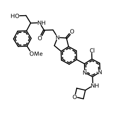 COc1cccc(C(CO)NC(=O)CN2Cc3ccc(-c4nc(NC5COC5)ncc4Cl)cc3C2=O)c1